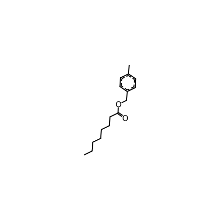 CCCCCCCC(=O)OCc1ccc(C)cc1